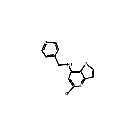 Clc1cc(NCc2ccncc2)c2occc2n1